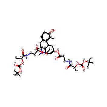 Cc1c(O)ccc2c1[C@]13CCN(C)[C@H](C2)[C@]1(OC(=O)CCNC(=O)[C@H](C)OC(=O)OC(C)(C)C)CC=C(OC(=O)CCNC(=O)[C@H](C)OC(=O)OC(C)(C)C)C3